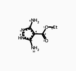 CCOC(=O)c1c(N)n[nH]c1N